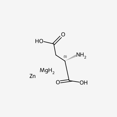 N[C@@H](CC(=O)O)C(=O)O.[MgH2].[Zn]